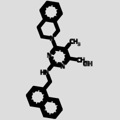 Cc1nc(NCc2cccc3ccccc23)nc(N2CCc3ccccc3C2)c1C.Cl